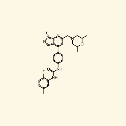 Cc1ccc(F)c(NC(=O)Nc2ccc(-c3cc(CN4CC(C)OC(C)C4)nc4c3cnn4C)cc2)c1